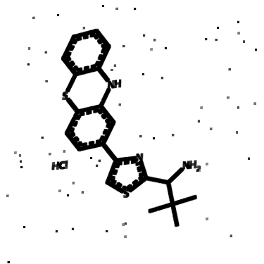 CC(C)(C)C(N)c1nc(-c2ccc3c(c2)Nc2ccccc2S3)cs1.Cl